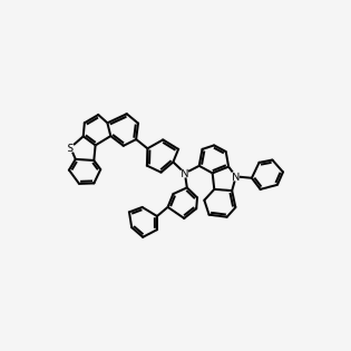 C1=CCC2C(=C1)N(c1ccccc1)c1cccc(N(c3ccc(-c4ccc5ccc6sc7ccccc7c6c5c4)cc3)c3cccc(-c4ccccc4)c3)c12